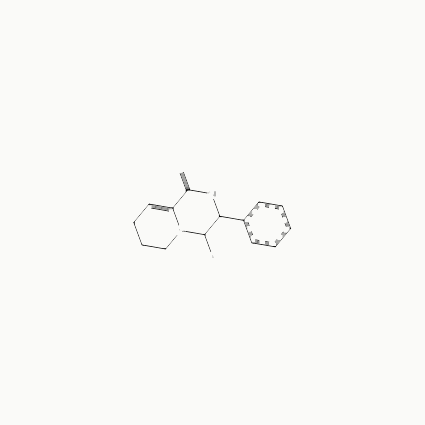 CC(=O)C1C(c2ccccc2)NC(=O)C2=CCCCN21